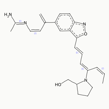 C=C(/C=C\N=C(/C)N)c1ccc2noc(/C=C/C=C(\C=C/C)N3CCCC3CO)c2c1